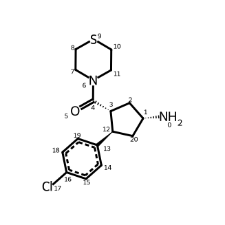 N[C@H]1C[C@@H](C(=O)N2CCSCC2)[C@H](c2ccc(Cl)cc2)C1